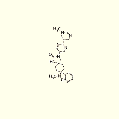 CN1C=NC=C(c2ncc(N3C[C@]4(CC[C@](c5ccccc5)(N(C)C)CC4)NC3=O)cn2)C1